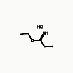 CCOC(=N)CI.Cl